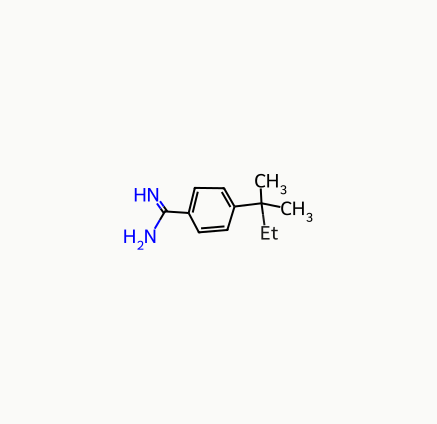 CCC(C)(C)c1ccc(C(=N)N)cc1